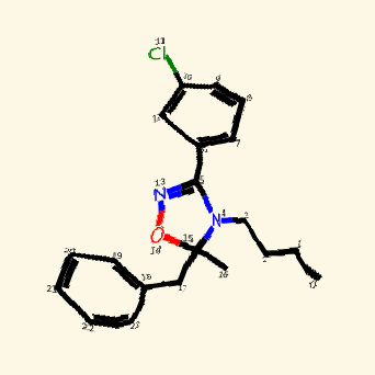 CCCCN1C(c2cccc(Cl)c2)=NOC1(C)Cc1ccccc1